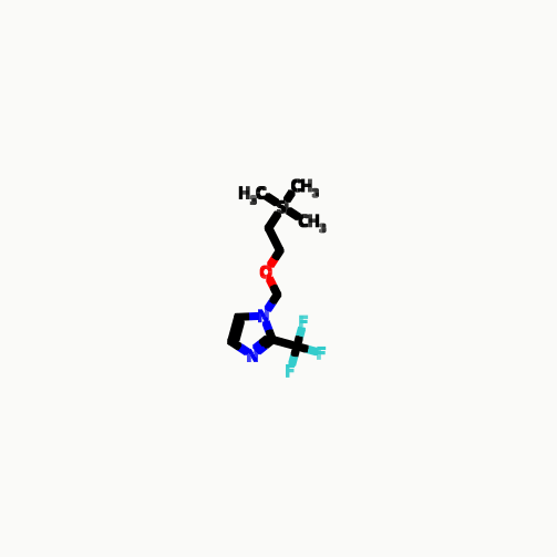 C[Si](C)(C)CCOCn1ccnc1C(F)(F)F